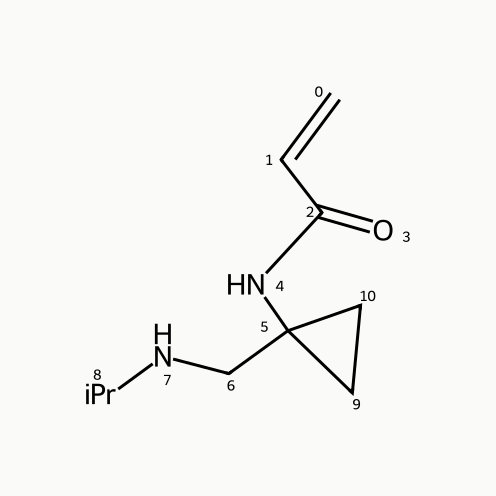 C=CC(=O)NC1(CNC(C)C)CC1